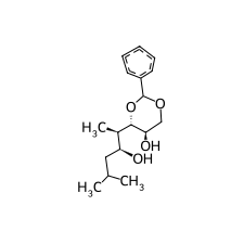 CC(C)C[C@H](O)[C@@H](C)[C@@H]1OC(c2ccccc2)OC[C@H]1O